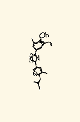 CCc1cc(-c2nc(-c3cnc(CC(C)C)c(C)c3)no2)cc(C)c1O